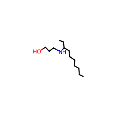 CCCCCCCC(CC)NCCCO